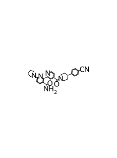 N#Cc1ccc(C2CCN(C(=O)c3ccnc(-c4nc(N5CCCC5)ccc4C(N)=O)c3)CC2)cc1